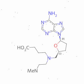 CNCCN(CCCC(=O)O)C[C@@H]1CC[C@H](n2cnc3c(N)ncnc32)O1